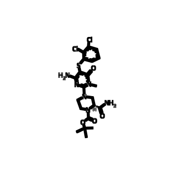 Cn1c(N2CCN(C(=O)OC(C)(C)C)[C@@H](C(N)=O)C2)nc(N)c(Sc2cccc(Cl)c2Cl)c1=O